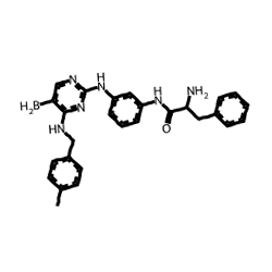 Bc1cnc(Nc2cccc(NC(=O)C(N)Cc3ccccc3)c2)nc1NCc1ccc(C)cc1